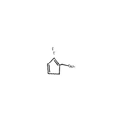 [I-].[I-].[Os+2][C]1=CC=CC1